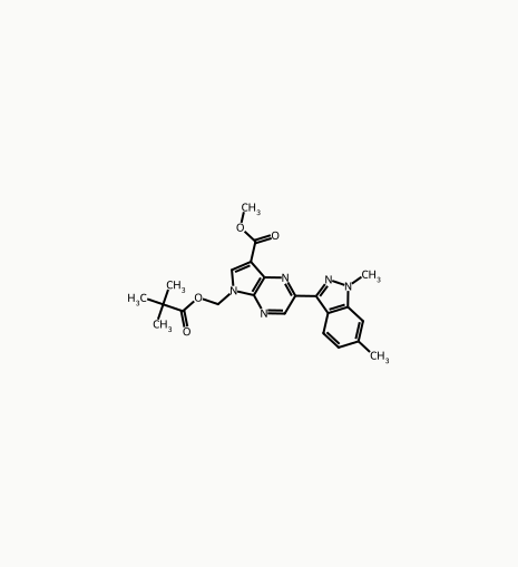 COC(=O)c1cn(COC(=O)C(C)(C)C)c2ncc(-c3nn(C)c4cc(C)ccc34)nc12